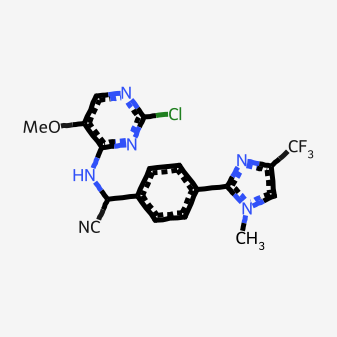 COc1cnc(Cl)nc1NC(C#N)c1ccc(-c2nc(C(F)(F)F)cn2C)cc1